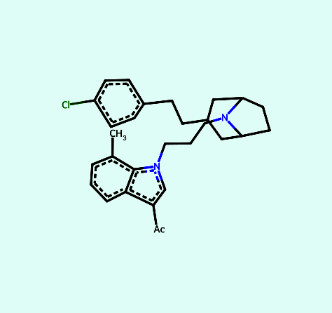 CC(=O)c1cn(CCCN2C3CCC2CC(CCc2ccc(Cl)cc2)C3)c2c(C)cccc12